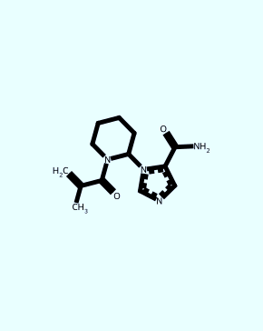 C=C(C)C(=O)N1CCCCC1n1cncc1C(N)=O